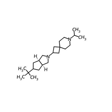 CC(C)N1CCC2(CC1)CC(N1C[C@H]3CC(C(C)(C)C)C[C@H]3C1)C2